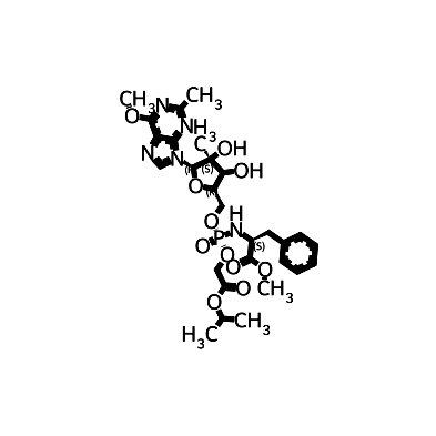 COC(=O)[C@H](Cc1ccccc1)NP(=O)(OCC(=O)OC(C)C)OC[C@H]1O[C@@H](n2cnc3c(OC)nc(C)nc32)[C@@](C)(O)C1O